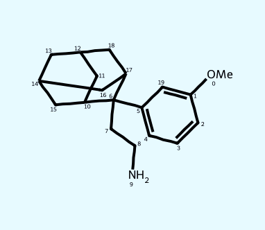 COc1cccc(C2(CCN)C3CC4CC(C3)CC2C4)c1